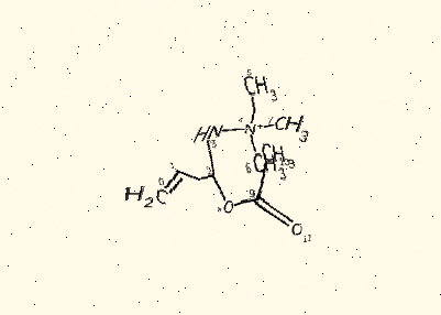 C=CC(N[N+](C)(C)C)OC(C)=O